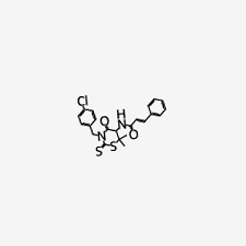 CC1(C)SC(=S)N(Cc2ccc(Cl)cc2)C(=O)C1NC(=O)C=Cc1ccccc1